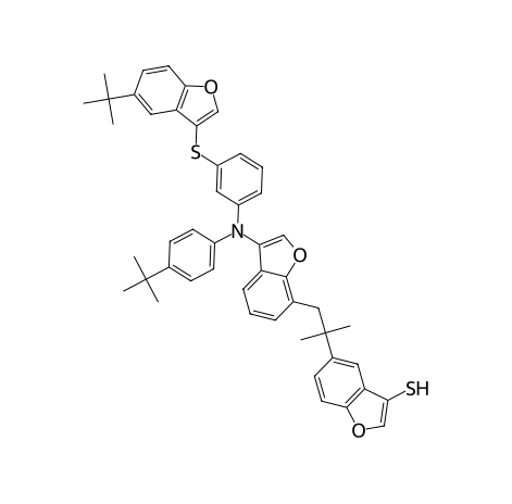 CC(C)(C)c1ccc(N(c2cccc(Sc3coc4ccc(C(C)(C)C)cc34)c2)c2coc3c(CC(C)(C)c4ccc5occ(S)c5c4)cccc23)cc1